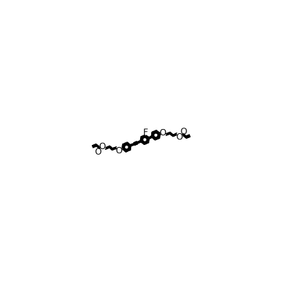 C=CC(=O)OCCCCOc1ccc(C#Cc2ccc(-c3ccc(OCCCCOC(=O)C=C)cc3)c(F)c2)cc1